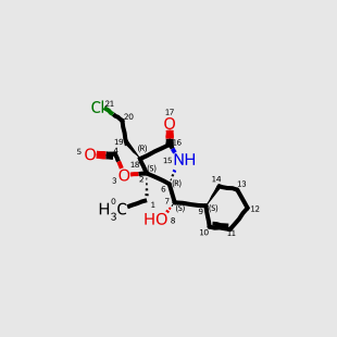 CC[C@@]1(OC=O)[C@@H]([C@@H](O)[C@@H]2C=CCCC2)NC(=O)[C@@H]1CCCl